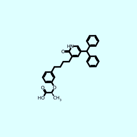 C[C@H](Oc1cccc(CCCCc2cc(C(c3ccccc3)c3ccccc3)c[nH]c2=O)c1)C(=O)O